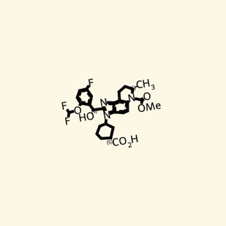 COC(=O)N1c2ccc3c(nc([C@@H](O)c4cc(F)ccc4OC(F)F)n3C3CCC[C@H](C(=O)O)C3)c2CC[C@@H]1C